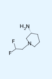 N[C@@H]1CCCN(CC(F)F)C1